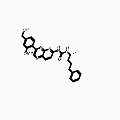 COc1cc(CO)ccc1-c1cnc2ccc(NC(=O)N[C@H](C)CCCc3ccccc3)nc2n1